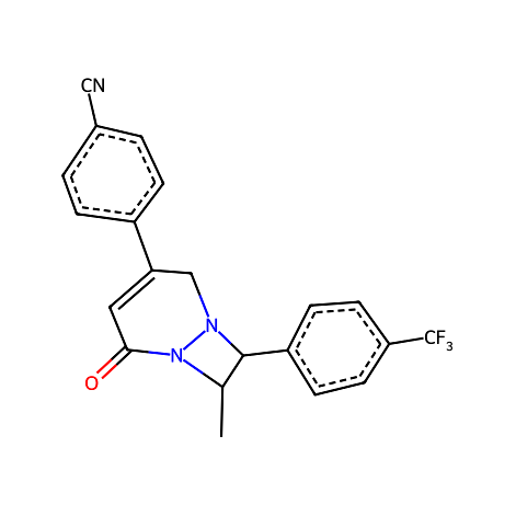 CC1C(c2ccc(C(F)(F)F)cc2)N2CC(c3ccc(C#N)cc3)=CC(=O)N12